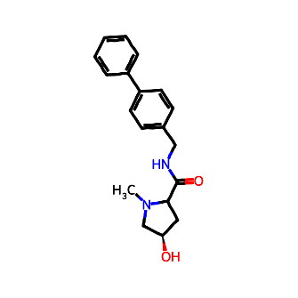 CN1C[C@H](O)CC1C(=O)NCc1ccc(-c2ccccc2)cc1